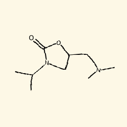 CC(C)N1CC(CN(C)C)OC1=O